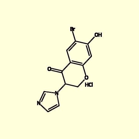 Cl.O=C1c2cc(Br)c(O)cc2OCC1n1ccnc1